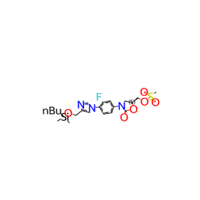 CCCC[Si](C)(C)OCc1cn(-c2ccc(N3C[C@@H](COS(C)(=O)=O)OC3=O)cc2F)cn1